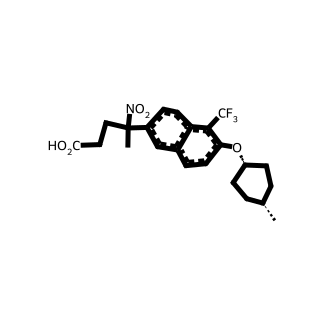 CC(CCC(=O)O)(c1ccc2c(C(F)(F)F)c(O[C@H]3CC[C@@H](C)CC3)ccc2c1)[N+](=O)[O-]